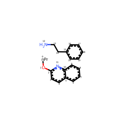 CCCOc1ccc2ccccc2n1.NCCc1ccccc1